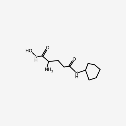 NC(CCC(=O)NC1CCCCC1)C(=O)NO